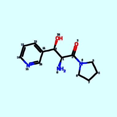 N[C@H](C(=O)N1CCCC1)[C@H](O)c1cccnc1